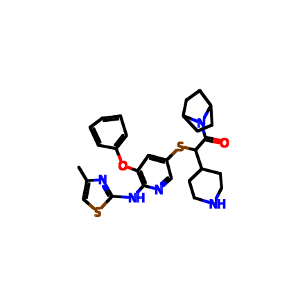 Cc1csc(Nc2ncc(SC(C(=O)N3C4CCC3CC4)C3CCNCC3)cc2Oc2ccccc2)n1